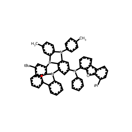 Cc1ccc(N2c3ccc(C)cc3B3c4cc(C(C)(C)C)ccc4N(c4ccccc4-c4ccccc4)c4cc(N(c5ccccc5)c5cccc6c5oc5c(C(C)C)cccc56)cc2c43)cc1